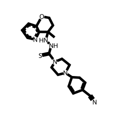 CC1(NNC(=S)N2CCN(C3C=CC(C#N)=CC3)CC2)CCOc2cccnc21